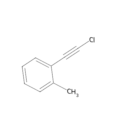 Cc1ccccc1C#CCl